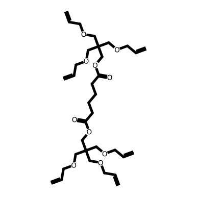 C=CCOCC(COCC=C)(COCC=C)COC(=O)CCCCC(=O)OCC(COCC=C)(COCC=C)COCC=C